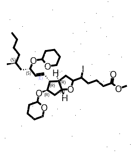 CCCC[C@H](C)C[C@@H](/C=C/[C@@H]1[C@H]2CC(C(I)CCCC(=O)OC)O[C@@H]2C[C@H]1OC1CCCCO1)OC1CCCCO1